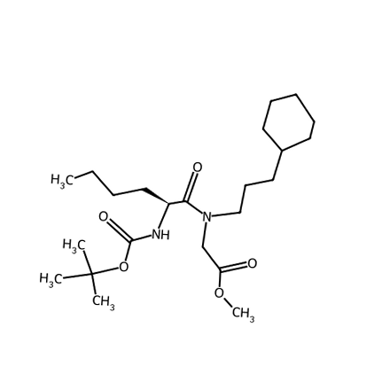 CCCC[C@H](NC(=O)OC(C)(C)C)C(=O)N(CCCC1CCCCC1)CC(=O)OC